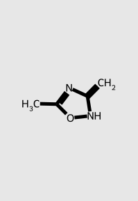 C=C1N=C(C)ON1